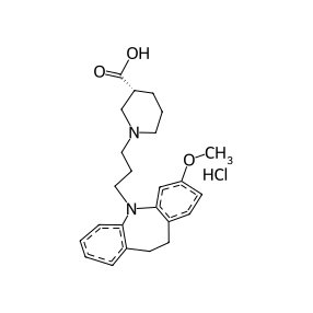 COc1ccc2c(c1)N(CCCN1CCC[C@@H](C(=O)O)C1)c1ccccc1CC2.Cl